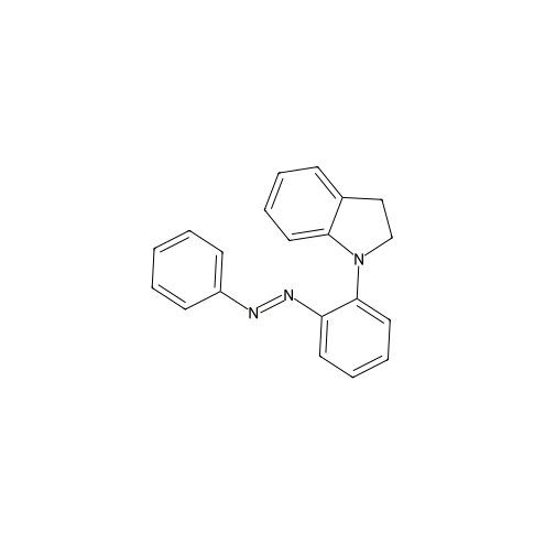 c1ccc(N=Nc2ccccc2N2CCc3ccccc32)cc1